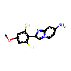 COc1cc(S)c(-c2cn3ccc(N)cc3n2)c(S)c1